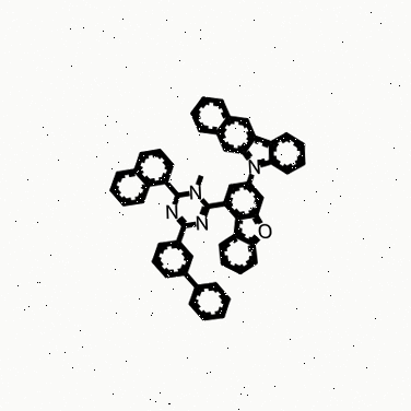 CN1C(c2cc(-n3c4ccccc4c4cc5ccccc5cc43)cc3oc4ccccc4c23)=NC(c2cccc(-c3ccccc3)c2)=NC1c1cccc2ccccc12